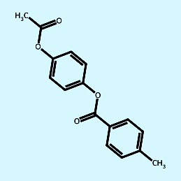 CC(=O)Oc1ccc(OC(=O)c2ccc(C)cc2)cc1